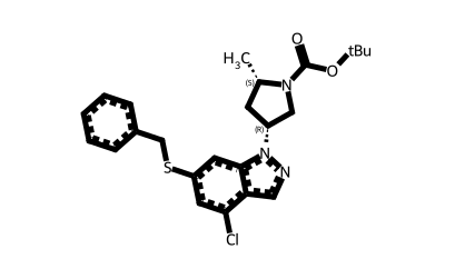 C[C@H]1C[C@@H](n2ncc3c(Cl)cc(SCc4ccccc4)cc32)CN1C(=O)OC(C)(C)C